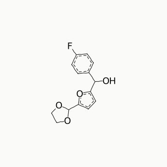 OC(c1ccc(F)cc1)c1ccc(C2OCCO2)o1